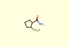 NC(=O)C1CCCC1C(=O)O